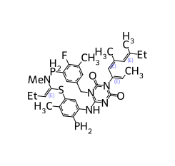 C\C=C(/C=C(C)\C=C(/C)CC)n1c(=O)nc(Nc2cc(S/C(=C/CC)NC)c(C)cc2P)n(Cc2cc(C)c(F)c(P)c2)c1=O